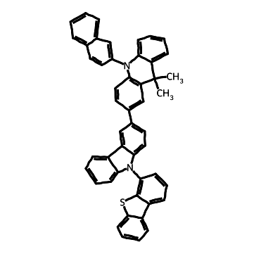 CC1(C)c2ccccc2N(c2ccc3ccccc3c2)c2ccc(-c3ccc4c(c3)c3ccccc3n4-c3cccc4c3sc3ccccc34)cc21